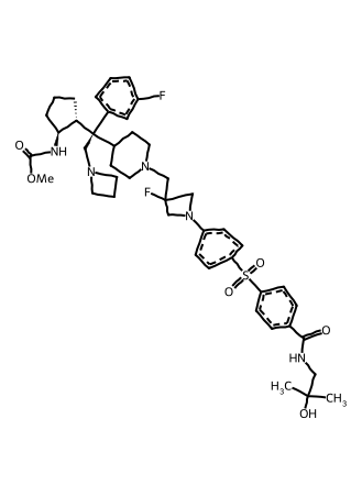 COC(=O)N[C@H]1CCC[C@@H]1[C@](CN1CCC1)(c1cccc(F)c1)C1CCN(CC2(F)CN(c3ccc(S(=O)(=O)c4ccc(C(=O)NCC(C)(C)O)cc4)cc3)C2)CC1